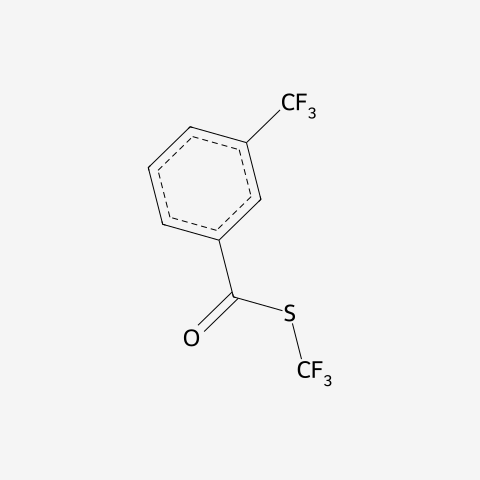 O=C(SC(F)(F)F)c1cccc(C(F)(F)F)c1